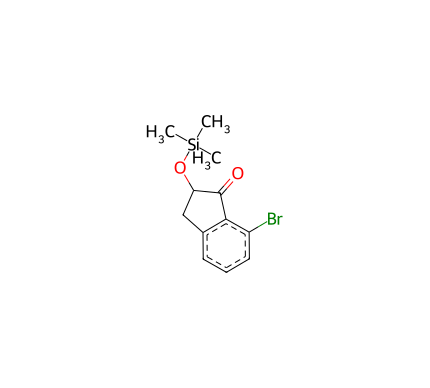 C[Si](C)(C)OC1Cc2cccc(Br)c2C1=O